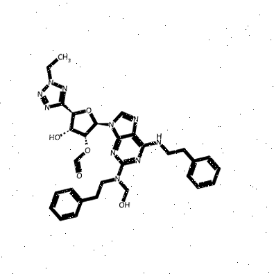 CCn1nnc([C@H]2O[C@@H](n3cnc4c(NCCc5ccccc5)nc(N(CO)CCc5ccccc5)nc43)[C@H](OC=O)[C@@H]2O)n1